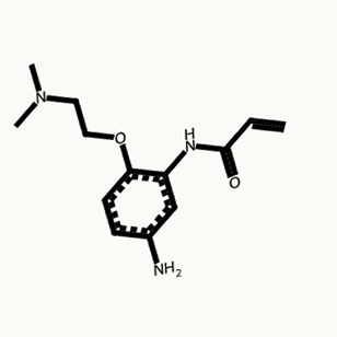 C=CC(=O)Nc1cc(N)ccc1OCCN(C)C